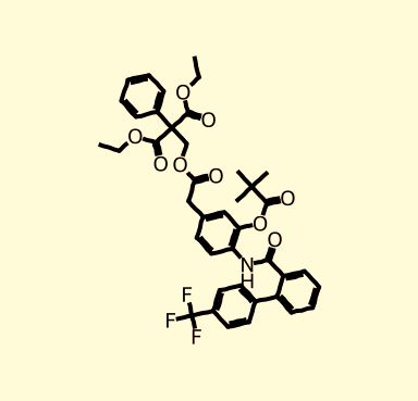 CCOC(=O)C(COC(=O)Cc1ccc(NC(=O)c2ccccc2-c2ccc(C(F)(F)F)cc2)c(OC(=O)C(C)(C)C)c1)(C(=O)OCC)c1ccccc1